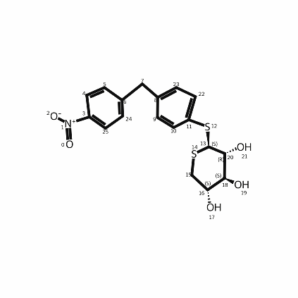 O=[N+]([O-])c1ccc(Cc2ccc(S[C@@H]3SC[C@@H](O)[C@H](O)[C@H]3O)cc2)cc1